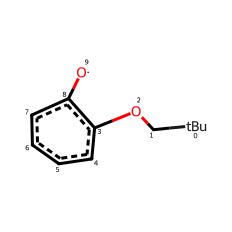 CC(C)(C)COc1ccccc1[O]